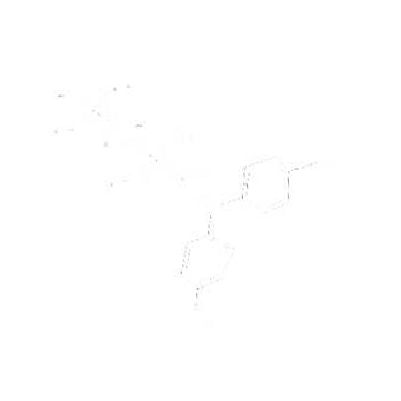 CCCCCCC[N+](CCCCCCC)(CCCCCCC)CCCCCCC.CCCCCCC[N+](CCCCCCC)(CCCCCCC)CCCCCCC.O=C(O)c1ccc([S+]([O-])c2ccc(C(=O)O)cc2)cc1